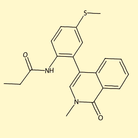 CCC(=O)Nc1ccc(SC)cc1-c1cn(C)c(=O)c2ccccc12